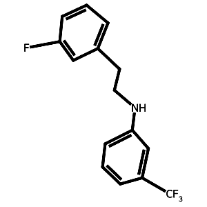 Fc1cccc(CCNc2cccc(C(F)(F)F)c2)c1